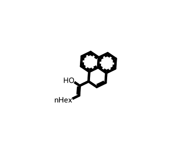 CCCCCCC=C(O)C1C=Cc2cccc3cccc1c23